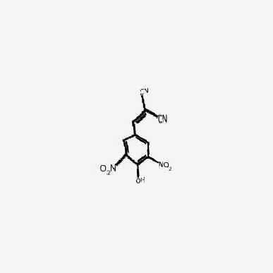 N#CC(C#N)=Cc1cc([N+](=O)[O-])c(O)c([N+](=O)[O-])c1